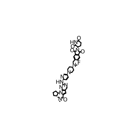 CN(C)C(=O)c1cc2cnc(Nc3ccc(N4CCC(N(C)Cc5cc6c(cc5F)C(=O)N(C5CCC(=O)NC5=O)C6=O)CC4)cn3)nc2n1C1CCCC1